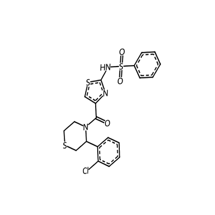 O=C(c1csc(NS(=O)(=O)c2ccccc2)n1)N1CCSCC1c1ccccc1Cl